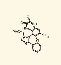 COCc1nnc(-c2cccnc2)n1-c1c(Cl)c(C)cc2[nH]c(=O)c(=O)[nH]c12